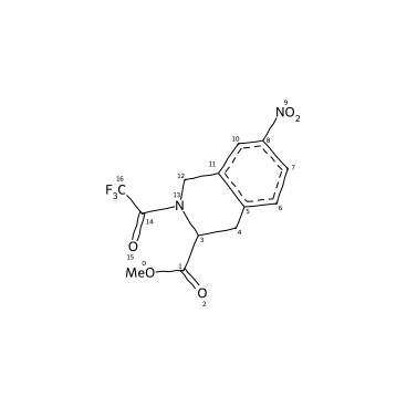 COC(=O)C1Cc2ccc([N+](=O)[O-])cc2CN1C(=O)C(F)(F)F